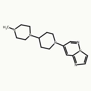 CN1CCN(C2CCN(c3cnn4ccnc4c3)CC2)CC1